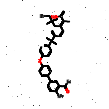 C=C(O)/C(C)=C(/C=C\C(=C)C(C)(C)C(=C)/C=C\C(=C/C)Oc1ccc(-c2ccc(CCC)c(C(=O)CC)c2)cc1)CC(C)(C)CC(C)C